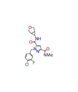 CNC(=O)c1cc(C(=O)NC2C3COCC32)n(Cc2ccc(Cl)c(F)c2)n1